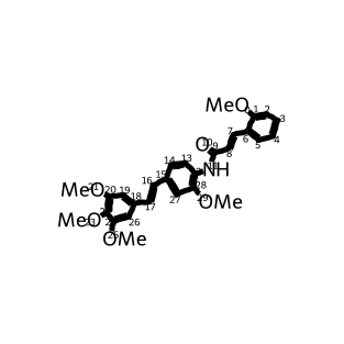 COc1ccccc1/C=C/C(=O)Nc1ccc(/C=C/c2cc(OC)c(OC)c(OC)c2)cc1OC